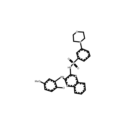 COc1ccc(Cl)c(Nc2nc3ccccc3nc2NS(=O)(=O)c2cccc(N3CCOCC3)c2)c1